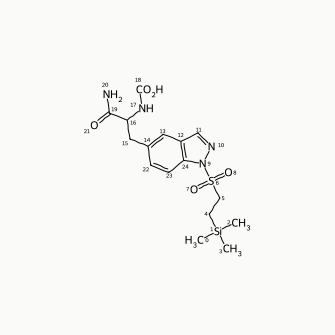 C[Si](C)(C)CCS(=O)(=O)n1ncc2cc(CC(NC(=O)O)C(N)=O)ccc21